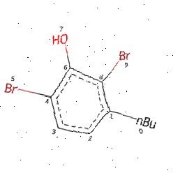 CCCCc1ccc(Br)c(O)c1Br